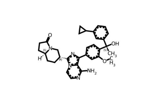 COc1cc(-c2nc([C@@H]3CC[C@H]4CCC(=O)N4C3)n3ccnc(N)c23)ccc1[C@@](C)(O)c1cccc(C2CC2)c1